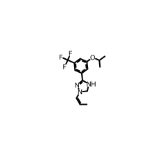 C/C=C\N1CNC(c2cc(OC(C)C)cc(C(F)(F)F)c2)=N1